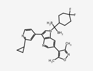 BC(B)(C1CCC(F)(F)CC1)n1cc(-c2ccnc(C3CC3)c2)c2ncc(-c3c(C)noc3C)cc21